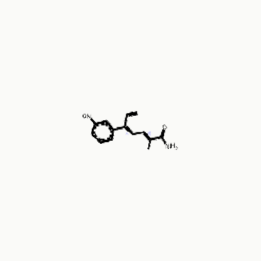 C=C/C(=C\C=C(/C)C(N)=O)c1cccc(N=O)c1